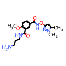 COc1ccc(C(=O)NOc2cc(C)n(C)n2)cc1C(=O)NCCCN